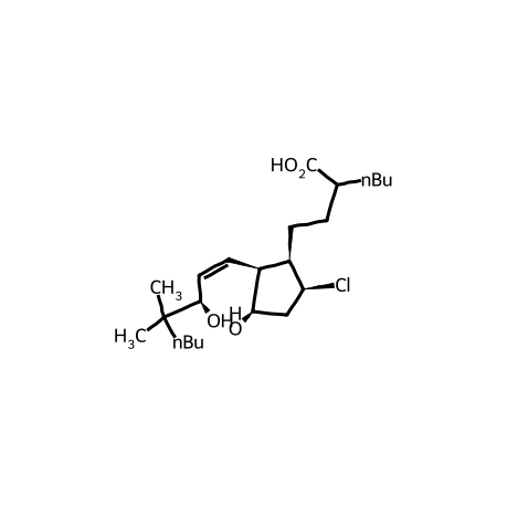 CCCCC(CC[C@@H]1[C@H](/C=C\[C@@H](O)C(C)(C)CCCC)[C@H](O)C[C@@H]1Cl)C(=O)O